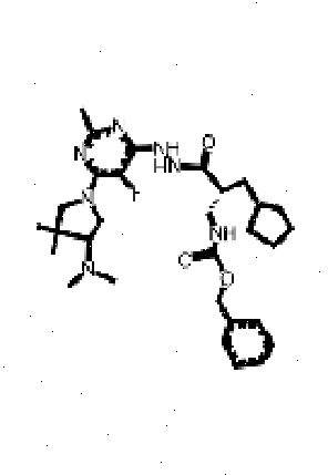 Cc1nc(NNC(=O)[C@@H](CNC(=O)OCc2ccccc2)CC2CCCC2)c(F)c(N2CC(N(C)C)C(C)(C)C2)n1